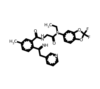 CCN(C(=O)CNC(=O)c1cc(C)ccc1C(=N)Cc1cccnc1)c1ccc2c(c1)OC(F)(F)O2